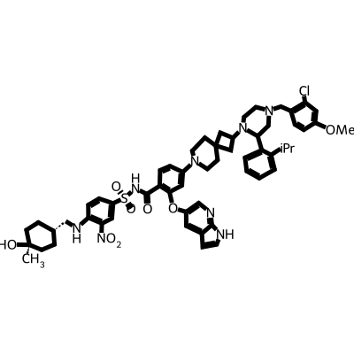 COc1ccc(CN2CCN(C3CC4(CCN(c5ccc(C(=O)NS(=O)(=O)c6ccc(NC[C@H]7CC[C@](C)(O)CC7)c([N+](=O)[O-])c6)c(Oc6cnc7[nH]ccc7c6)c5)CC4)C3)C(c3ccccc3C(C)C)C2)c(Cl)c1